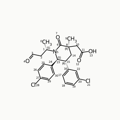 C[C@@H](CC=O)N1C(=O)[C@@](C)(CC(=O)O)C[C@H](c2cccc(Cl)c2)[C@H]1c1ccc(Cl)cc1